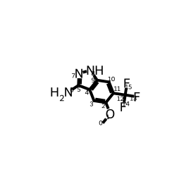 COc1cc2c(N)n[nH]c2cc1C(F)(F)F